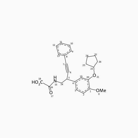 COc1ccc(C(C#Cc2ccccc2)CNC(=O)C(=O)O)cc1OC1CCCC1